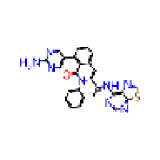 C[C@H](Nc1ncnc2scnc12)c1cc2cccc(-c3cnc(N)nc3)c2c(=O)n1-c1ccccc1